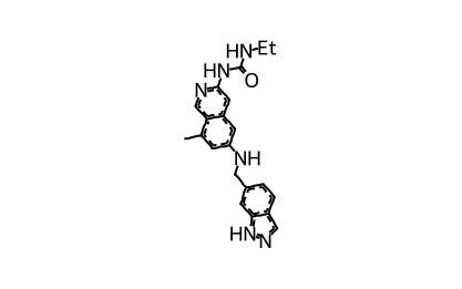 CCNC(=O)Nc1cc2cc(NCc3ccc4cn[nH]c4c3)cc(C)c2cn1